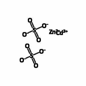 O=S(=O)([O-])[O-].O=S(=O)([O-])[O-].[Cd+2].[Zn+2]